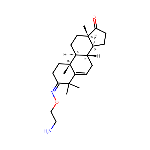 CC1(C)C2=CC[C@@H]3[C@H](CC[C@]4(C)C(=O)CC[C@@H]34)[C@@]2(C)CC/C1=N/OCCN